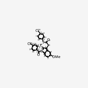 COc1ccc2c(c1)c(CC(=O)Sc1ccc(Cl)cc1)c(C)n2C(=O)c1ccc(Cl)cc1